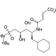 CCCCNS(=O)(=O)C[C@H](O)[C@H](O)[C@H](CC1CCCCC1)NC(=O)C=CC(=O)O